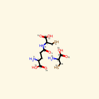 NC(CCC(=O)NC(CS)C(=O)O)C(=O)O.NC(CS)C(=O)O